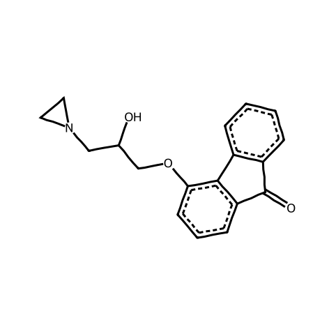 O=C1c2ccccc2-c2c(OCC(O)CN3CC3)cccc21